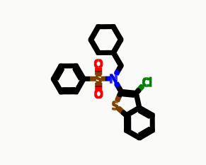 O=S(=O)(c1ccccc1)N(CC1CCCCC1)c1sc2ccccc2c1Cl